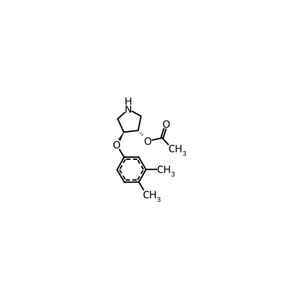 CC(=O)O[C@H]1CNC[C@@H]1Oc1ccc(C)c(C)c1